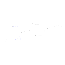 C/N=C(\NOC)c1ccc(OC)cc1